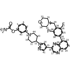 NC(=O)Oc1cccc(N2CCC(n3cc(-c4cnc5cccc(-c6cc(F)c(CN7CCOCC7)c(F)c6)c5n4)cn3)CC2)c1